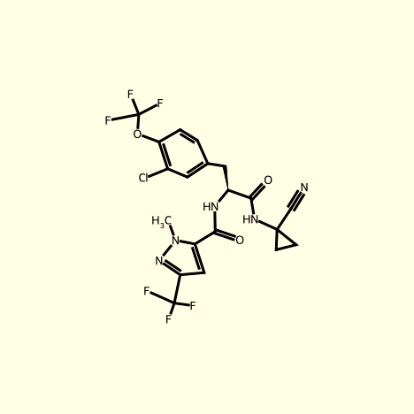 Cn1nc(C(F)(F)F)cc1C(=O)N[C@@H](Cc1ccc(OC(F)(F)F)c(Cl)c1)C(=O)NC1(C#N)CC1